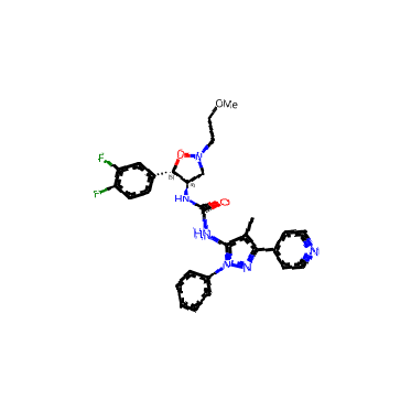 COCCN1C[C@@H](NC(=O)Nc2c(C)c(-c3ccncc3)nn2-c2ccccc2)[C@H](c2ccc(F)c(F)c2)O1